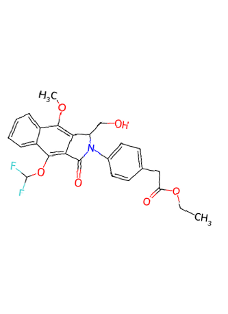 CCOC(=O)Cc1ccc(N2C(=O)c3c(c(OC)c4ccccc4c3OC(F)F)C2CO)cc1